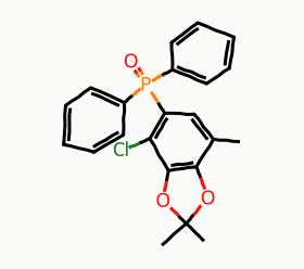 Cc1cc(P(=O)(c2ccccc2)c2ccccc2)c(Cl)c2c1OC(C)(C)O2